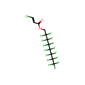 O=C(C=CCl)OCC(F)(F)C(F)(F)C(F)(F)C(F)(F)C(F)(F)C(F)(F)C(F)(F)F